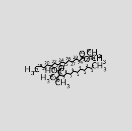 CCCCCCCCCCC(C(=O)O)C(C)C.CCCCCCCCCCCCCC(=O)OC(C)C